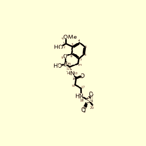 COC(O)c1cccc2c1OB(O)[C@@H](NC(=O)CCNS(C)(=O)=O)C2